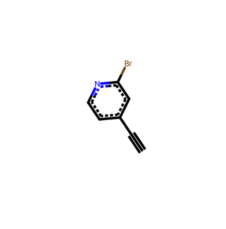 C#Cc1ccnc(Br)c1